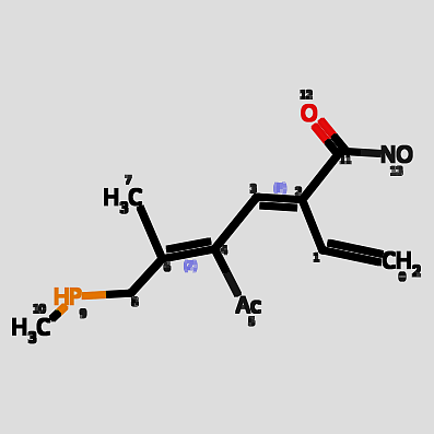 C=C/C(=C\C(C(C)=O)=C(/C)CPC)C(=O)N=O